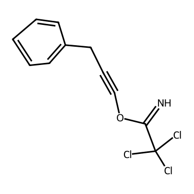 N=C(OC#CCc1ccccc1)C(Cl)(Cl)Cl